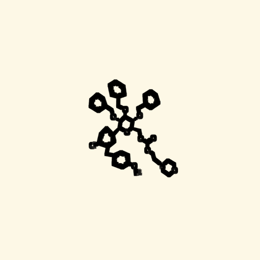 CCOc1ccc(Cc2cc([C@@H]3O[C@H](COC(=O)OCCN4CCOCC4)[C@@H](OCc4ccccc4)[C@H](OCc4ccccc4)[C@H]3OCc3ccccc3)ccc2Cl)cc1